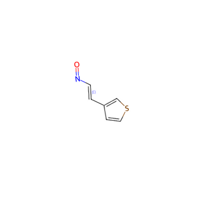 O=N/C=C/c1ccsc1